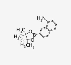 CC1(C)OB(c2ccc3cccc(N)c3c2)OC1(C)C